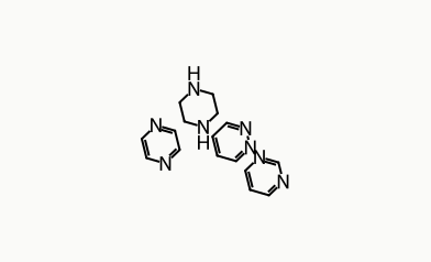 C1CNCCN1.c1ccnnc1.c1cnccn1.c1cncnc1